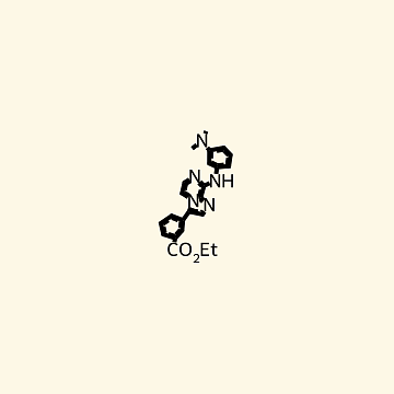 CCOC(=O)c1cccc(-c2cnc3c(Nc4cccc(N(C)C)c4)nccn23)c1